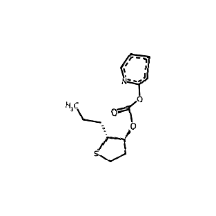 CCC[C@H]1SCC[C@@H]1OC(=O)Oc1ccccn1